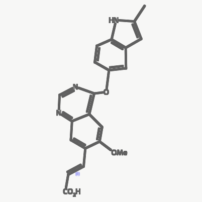 COc1cc2c(Oc3ccc4[nH]c(C)cc4c3)ncnc2cc1/C=C/C(=O)O